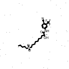 CCCCCS(=O)(=O)CCCCCCCC[C@](C)(O)C(=O)Nc1ccc(C#N)c(C(F)(F)F)c1